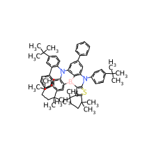 CC(C)(C)c1ccc(N2c3cc(-c4ccccc4)cc4c3B(c3cc5c(cc3N4c3ccc(C(C)(C)C)cc3-c3ccccc3)C(C)(C)CCC5(C)C)c3c2sc2c3C(C)(C)CCC2(C)C)cc1